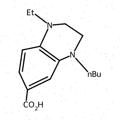 CCCCN1CCN(CC)c2ccc(C(=O)O)cc21